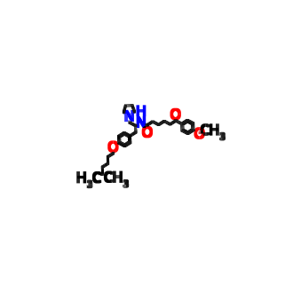 COc1ccc(C(=O)CCCCC(=O)N[C@@H](Cc2ccc(OCCCCC(C)C)cc2)CN2CCCC2)cc1